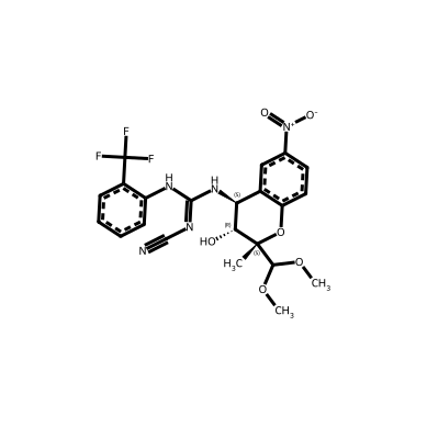 COC(OC)[C@@]1(C)Oc2ccc([N+](=O)[O-])cc2[C@H](NC(=NC#N)Nc2ccccc2C(F)(F)F)[C@H]1O